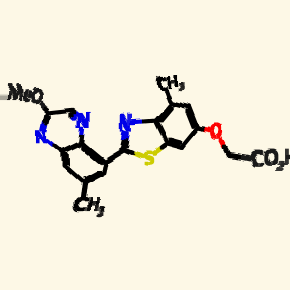 COc1cnc2c(-c3nc4c(C)cc(OCC(=O)O)cc4s3)cc(C)cc2n1